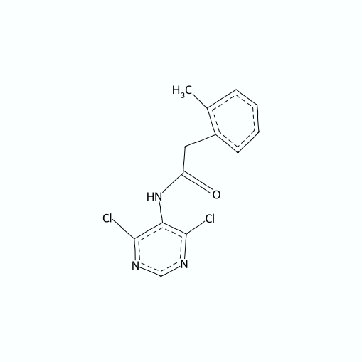 Cc1ccccc1CC(=O)Nc1c(Cl)ncnc1Cl